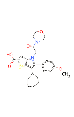 COc1ccc(-c2c(C3CCCCC3)c3sc(C(=O)O)cc3n2CC(=O)N2CCOCC2)cc1